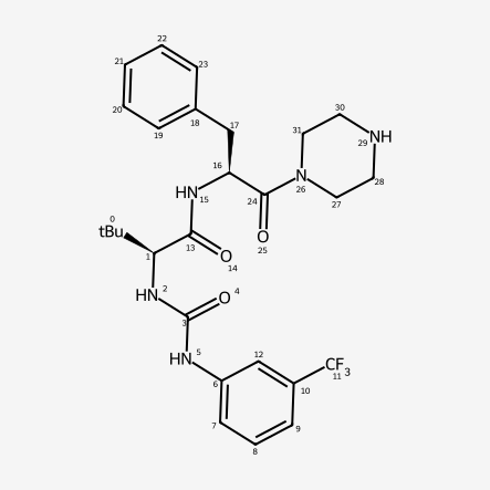 CC(C)(C)[C@H](NC(=O)Nc1cccc(C(F)(F)F)c1)C(=O)N[C@@H](Cc1ccccc1)C(=O)N1CCNCC1